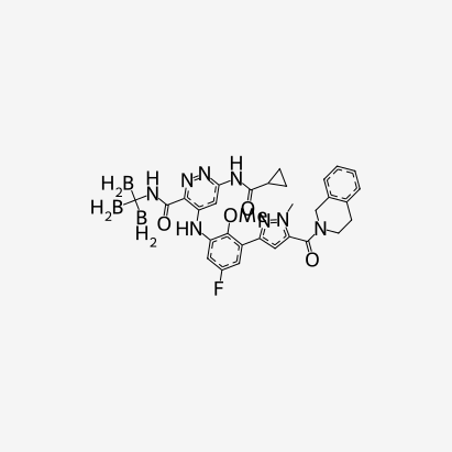 BC(B)(B)NC(=O)c1nnc(NC(=O)C2CC2)cc1Nc1cc(F)cc(-c2cc(C(=O)N3CCc4ccccc4C3)n(C)n2)c1OC